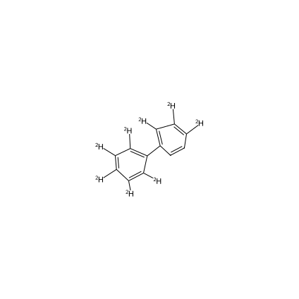 [2H]c1ccc(-c2c([2H])c([2H])c([2H])c([2H])c2[2H])c([2H])c1[2H]